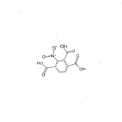 O=C(O)c1ccc(C(=O)O)c([N+](=O)[O-])c1C(=O)O